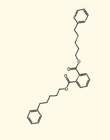 O=C(OCCCCCc1ccccc1)c1ccccc1C(=O)OCCCCCc1ccccc1